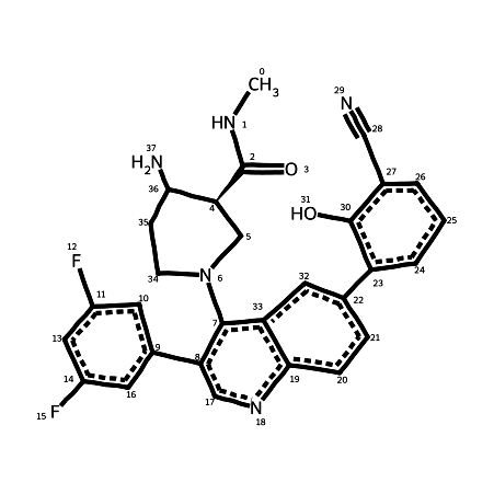 CNC(=O)[C@H]1CN(c2c(-c3cc(F)cc(F)c3)cnc3ccc(-c4cccc(C#N)c4O)cc23)CCC1N